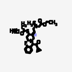 CCOC(=O)CN(C)C/C=C1/CN(C(C(=O)C2CC2)c2ccccc2F)CCC1SC(C)=O.Cl.Cl